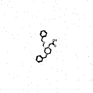 O=C(O)CN1CCN(Cc2ccccc2)C[C@@H]1COCc1ccccc1